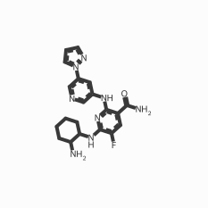 NC(=O)c1cc(F)c(NC2CCCCC2N)nc1Nc1cncc(-n2cccn2)c1